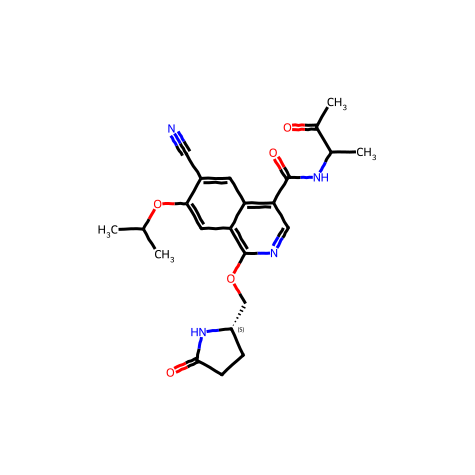 CC(=O)C(C)NC(=O)c1cnc(OC[C@@H]2CCC(=O)N2)c2cc(OC(C)C)c(C#N)cc12